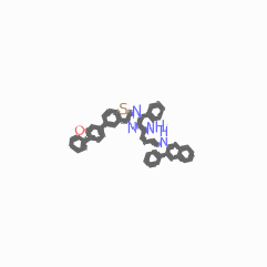 N=C(/C=C\C=C\Nc1cc2ccccc2cc1-c1ccccc1)c1nc2c(nc1C1=CCCC=C1)sc1ccc(-c3ccc4c(c3)oc3ccccc34)cc12